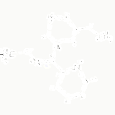 CCc1[c]c(/C(=N\OC)c2ccccn2)ccc1